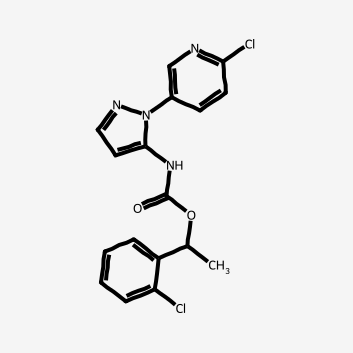 CC(OC(=O)Nc1ccnn1-c1ccc(Cl)nc1)c1ccccc1Cl